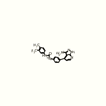 Cc1ccc(NC(=O)Nc2ccc(-c3ccnc4[nH]nc(N)c34)cc2)cc1C(F)(F)F